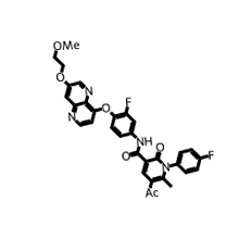 COCCOc1cnc2c(Oc3ccc(NC(=O)c4cc(C(C)=O)c(C)n(-c5ccc(F)cc5)c4=O)cc3F)ccnc2c1